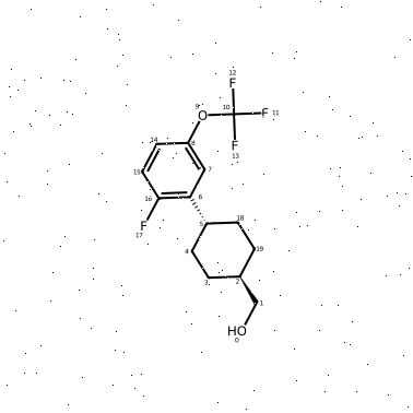 OC[C@H]1CC[C@H](c2cc(OC(F)(F)F)ccc2F)CC1